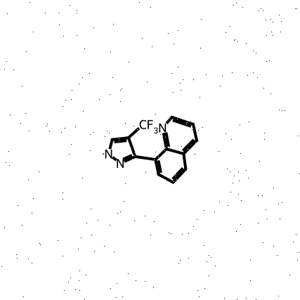 FC(F)(F)C1=C[N]N=C1c1cccc2cccnc12